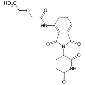 O=C(O)COCC(=O)Nc1cccc2c1C(=O)N(C1CCC(=O)NC1=O)C2=O